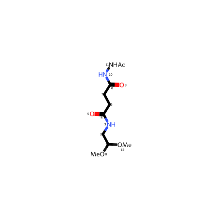 COC(CNC(=O)CCC(=O)NNC(C)=O)OC